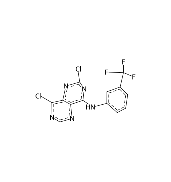 FC(F)(F)c1cccc(Nc2nc(Cl)nc3c(Cl)ncnc23)c1